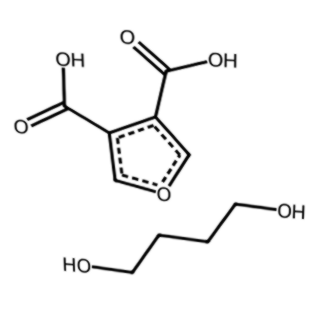 O=C(O)c1cocc1C(=O)O.OCCCCO